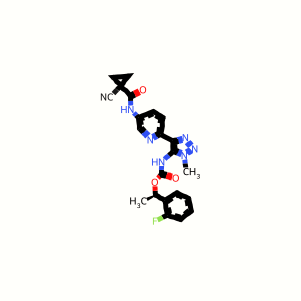 C[C@@H](OC(=O)Nc1c(-c2ccc(NC(=O)C3(C#N)CC3)cn2)nnn1C)c1ccccc1F